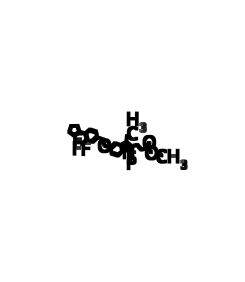 CCOC(=O)CCc1c(CC)c2cc(OCc3ccc(C4CCCC4)c(C(F)(F)F)c3)ccc2n1SI